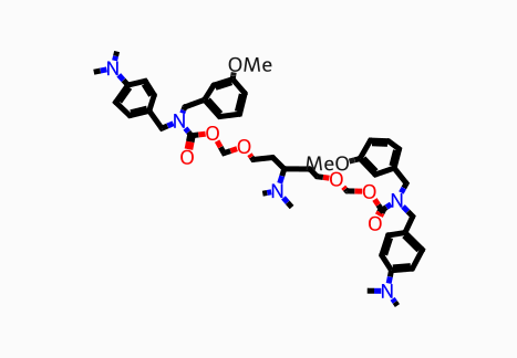 COc1cccc(CN(Cc2ccc(N(C)C)cc2)C(=O)OCOCCC(CCOCOC(=O)N(Cc2ccc(N(C)C)cc2)Cc2cccc(OC)c2)N(C)C)c1